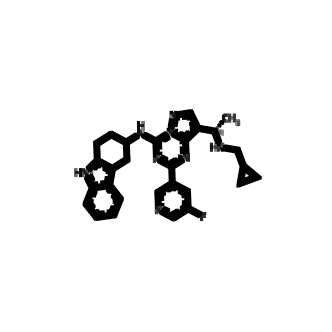 C[C@H](NCC1CC1)c1cnn2c(NC3CCc4[nH]c5ccccc5c4C3)nc(-c3cncc(F)c3)nc12